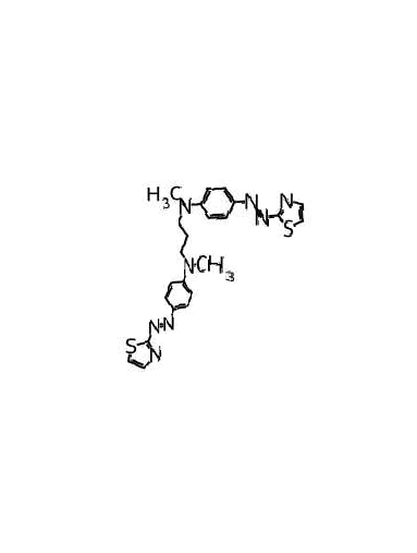 CN(CCCN(C)c1ccc(N=Nc2nccs2)cc1)c1ccc(N=Nc2nccs2)cc1